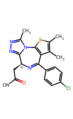 Cc1sc2c(c1C)C(c1ccc(Cl)cc1)=N[C@@H](CC(=O)N=O)c1nnc(C)n1-2